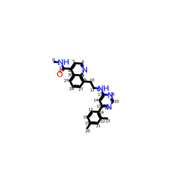 CNC(=O)c1ccnc2c(CCNc3cc(-c4ccc(C)cc4C)ncn3)cccc12